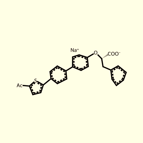 CC(=O)c1ccc(-c2ccc(-c3ccc(O[C@@H](Cc4ccccc4)C(=O)[O-])cc3)cc2)s1.[Na+]